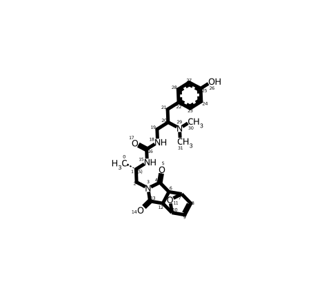 C[C@@H](CN1C(=O)C2C3C=CC(O3)C2C1=O)NC(=O)NCC(Cc1ccc(O)cc1)N(C)C